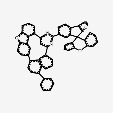 c1ccc(-c2ccc(-c3ccc4oc5cccc(-c6cc(-c7ccccc7)nc(-c7ccc8c(c7)C7(c9ccccc9Oc9ccccc97)c7ccccc7-8)n6)c5c4c3)cc2)cc1